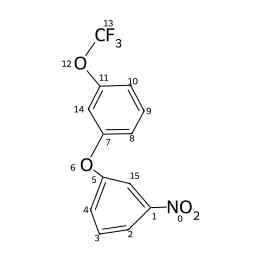 O=[N+]([O-])c1cccc(Oc2cccc(OC(F)(F)F)c2)c1